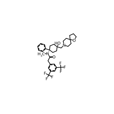 CN(C(=O)Cc1cc(C(F)(F)F)cc(C(F)(F)F)c1)[C@]1(c2ccccc2)CC[C@](O)(CN2CCC3(CCCO3)CC2)CC1